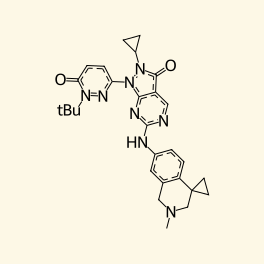 CN1Cc2cc(Nc3ncc4c(=O)n(C5CC5)n(-c5ccc(=O)n(C(C)(C)C)n5)c4n3)ccc2C2(CC2)C1